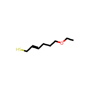 CCOCCC/C=C/CS